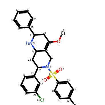 CCOC1=C2CN(S(=O)(=O)c3ccc(C)cc3)C(c3cccc(Cl)c3)CC2NC(c2ccccc2)C1